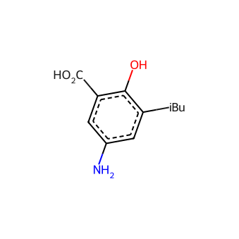 CCC(C)c1cc(N)cc(C(=O)O)c1O